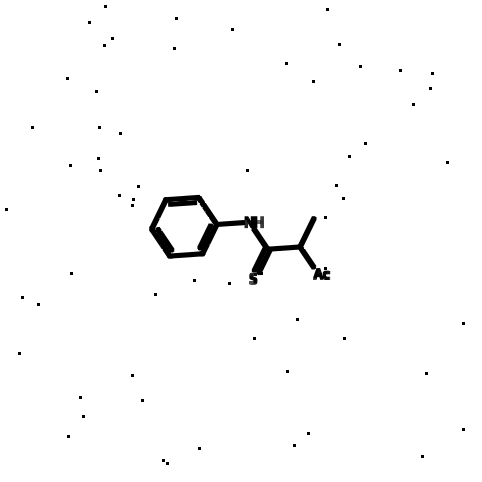 CC(=O)C(C)C(=S)Nc1ccccc1